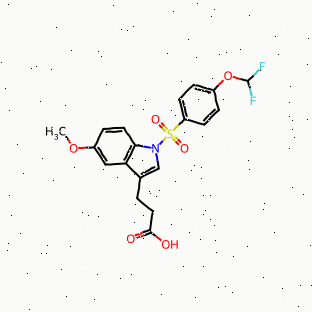 COc1ccc2c(c1)c(CCC(=O)O)cn2S(=O)(=O)c1ccc(OC(F)F)cc1